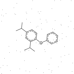 CC(C)c1ccc(Oc2ccccc2)c(C(C)C)c1